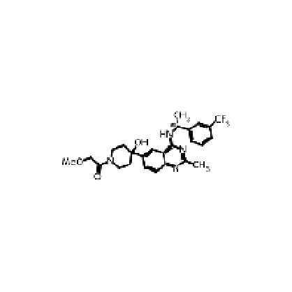 COCC(=O)N1CCC(O)(c2ccc3nc(C)nc(N[C@H](C)c4cccc(C(F)(F)F)c4)c3c2)CC1